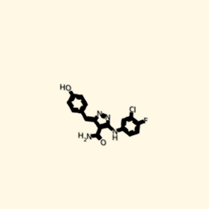 NC(=O)C1=C(Nc2ccc(F)c(Cl)c2)N=NC1=Cc1ccc(O)cc1